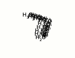 Cc1ccccc1.Cc1ccccc1.Cc1ccccc1.Cc1ccccc1.Cc1ccccc1.Cc1ccccc1.Cc1ccccc1.Cc1ccccc1.O